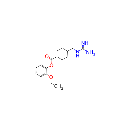 CCOc1ccccc1OC(=O)C1CCC(CNC(=N)N)CC1